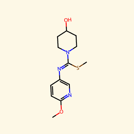 COc1ccc(/N=C(\SC)N2CCC(O)CC2)cn1